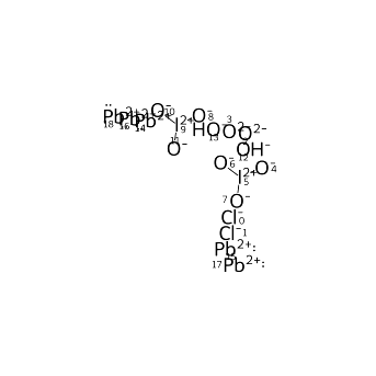 [Cl-].[Cl-].[O-2].[O-2].[O-][I+2]([O-])[O-].[O-][I+2]([O-])[O-].[OH-].[OH-].[Pb+2].[Pb+2].[Pb+2].[Pb+2].[Pb+2]